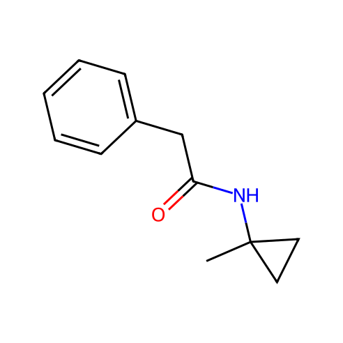 CC1(NC(=O)Cc2ccccc2)CC1